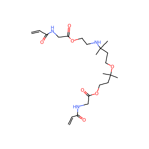 C=CC(=O)NCC(=O)OCCNC(C)(C)CCOC(C)(C)CCOC(=O)CNC(=O)C=C